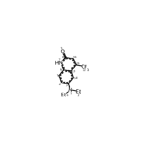 CCN(CC)c1ccc2[nH]c(=O)cc(C(F)(F)F)c2c1